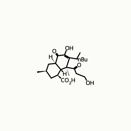 CCCC[C@@H](C)C1=C(O)C(=O)[C@@H]2C[C@H](C)C[C@H](C(=O)O)[C@H]2[C@]1(C)C(=O)CCO